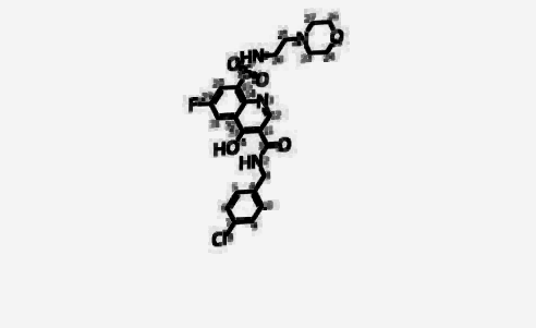 O=C(NCc1ccc(Cl)cc1)c1cnc2c(S(=O)(=O)NCCN3CCOCC3)cc(F)cc2c1O